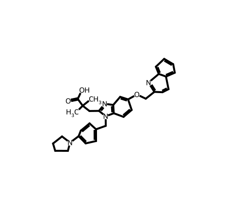 CC(C)(Cc1nc2cc(OCc3ccc4ccccc4n3)ccc2n1Cc1ccc(N2CCCC2)cc1)C(=O)O